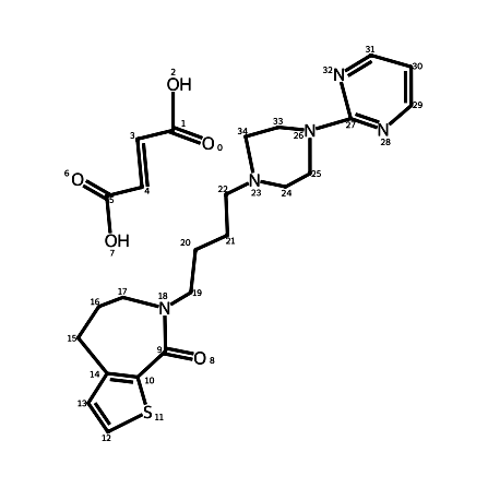 O=C(O)C=CC(=O)O.O=C1c2sccc2CCCN1CCCCN1CCN(c2ncccn2)CC1